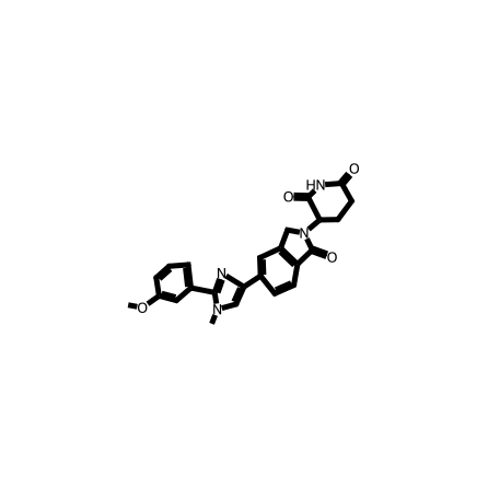 COc1cccc(-c2nc(-c3ccc4c(c3)CN(C3CCC(=O)NC3=O)C4=O)cn2C)c1